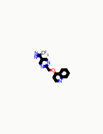 FC(F)(F)C1(c2cnc(COc3ccnc4ccccc34)nc2)N=N1